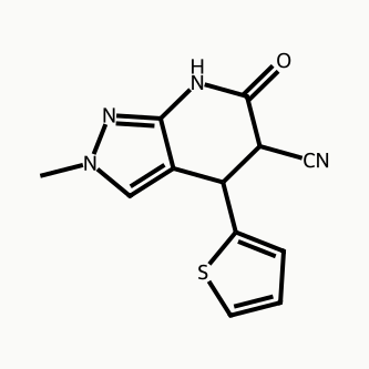 Cn1cc2c(n1)NC(=O)C(C#N)C2c1cccs1